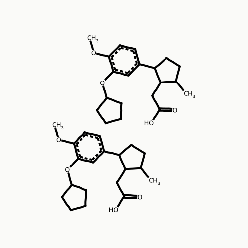 COc1ccc(C2CCC(C)C2CC(=O)O)cc1OC1CCCC1.COc1ccc(C2CCC(C)C2CC(=O)O)cc1OC1CCCC1